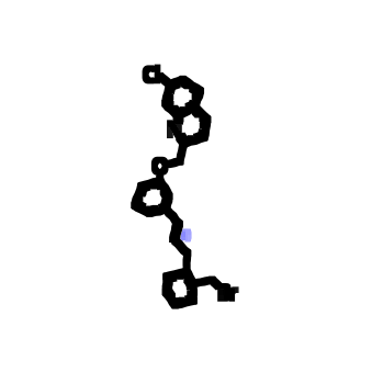 Clc1ccc2ccc(COc3cccc(/C=C/Cc4ccccc4CBr)c3)nc2c1